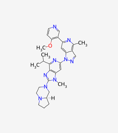 COc1ccncc1-c1cc2c(cnn2-c2cc3c(nc(N4CCN5CCC[C@@H]5C4)n3C)c(C(C)C)n2)c(C)n1